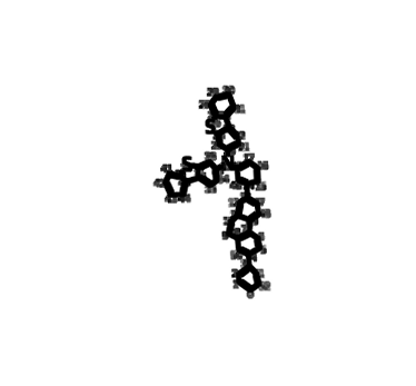 c1ccc(-c2ccc3c(ccc4cc(-c5cccc(N(c6ccc7c(c6)sc6ccccc67)c6ccc7c(c6)sc6ccccc67)c5)ccc43)c2)cc1